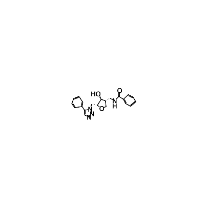 O=C(NC[C@@H]1CO[C@H](Cn2nncc2-c2ccccc2)[C@H]1O)c1ccccc1